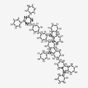 c1ccc(-c2nc(-c3ccccc3)nc(-c3ccc(-c4ccc(-c5ccc6c7ccc(-c8ccc9c(c8)c8ccccc8n9-c8ccccc8)cc7n(-c7ccccc7)c6c5)c(-n5c6ccccc6c6ccccc65)c4)cc3)n2)cc1